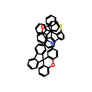 c1ccc2c(c1)Oc1ccc(N(c3cccc4c3C3(c5ccccc5S4)c4ccccc4-c4ccccc43)c3cccc4oc5ccccc5c34)cc1C21c2ccccc2-c2ccccc21